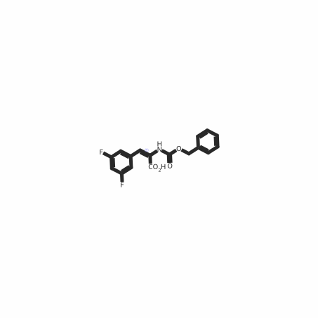 O=C(N/C(=C/c1cc(F)cc(F)c1)C(=O)O)OCc1ccccc1